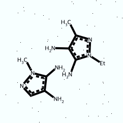 CCn1nc(C)c(N)c1N.Cn1ncc(N)c1N